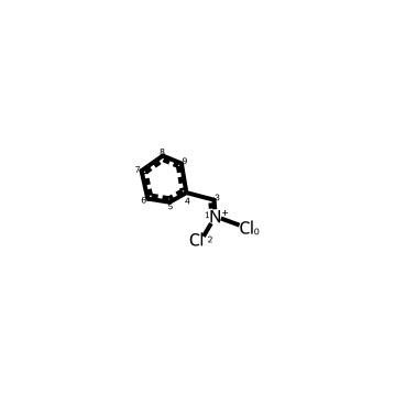 Cl[N+](Cl)=Cc1ccccc1